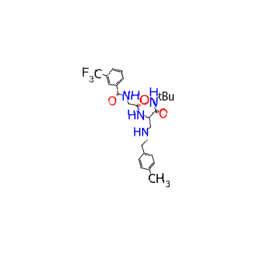 Cc1ccc(CCNCC(NC(=O)CNC(=O)c2cccc(C(F)(F)F)c2)C(=O)NC(C)(C)C)cc1